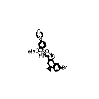 COc1cc(N2CCOCC2)ccc1S(=O)(=O)Nc1noc2c1CC1(CC1)c1ccc(Br)cc1-2